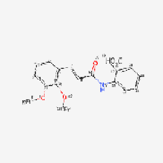 CCCOc1cccc(C=CC(=O)Nc2ccccc2C(=O)O)c1OCCC